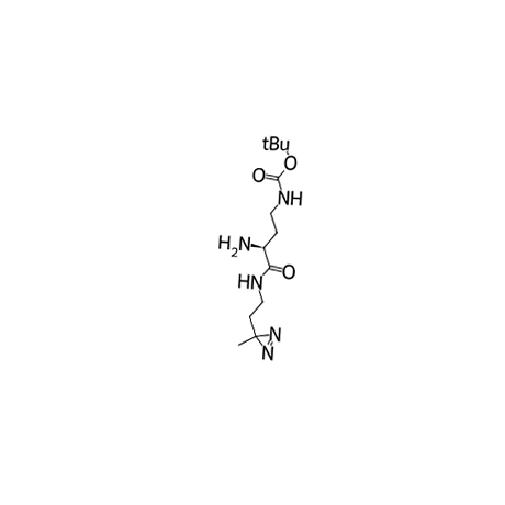 CC1(CCNC(=O)[C@@H](N)CCNC(=O)OC(C)(C)C)N=N1